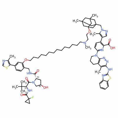 Cc1ncsc1-c1ccc(CNC(=O)[C@@H]2C[C@@H](O)CN2C(=O)[C@@H](NC(=O)C2(F)CC2)C(C)(C)C)c(OCCCCCCCCCCCCCCN(C)CCOC23CC4(C)CC(C)(CC(Cn5ncc(-c6ccc(N7CCCc8c7nnc(Nc7nc9ccccc9s7)c8C)nc6C(=O)O)c5C)(C4)C2)C3)c1